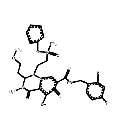 COCCC1N(C)C(=O)c2c(O)c(=O)c(C(=O)NCc3ccc(F)cc3F)cn2N1CCP(N)(=O)Oc1ccccc1